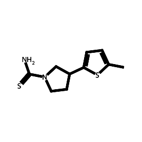 Cc1ccc(C2CCN(C(N)=S)C2)s1